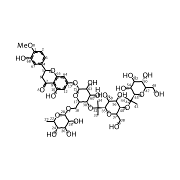 COc1ccc(C2CC(=O)c3c(O)cc(O[C@@H]4OC(CO[C@@H]5OC(C)[C@H](O)C(O)C5O)[C@H](OC(C)(C)[C@@H]5OC(CO)[C@H](OC(C)(C)[C@@H]6OC(CO)[C@@H](O)C(O)C6O)C(O)C5O)C(O)C4O)cc3O2)cc1O